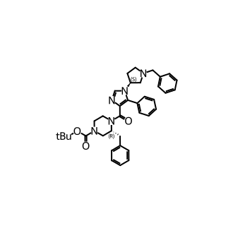 CC(C)(C)OC(=O)N1CCN(C(=O)c2ncn([C@H]3CCN(Cc4ccccc4)C3)c2-c2ccccc2)[C@H](Cc2ccccc2)C1